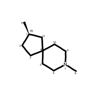 C[C@@H]1CCC2(CCN(C)CC2)C1